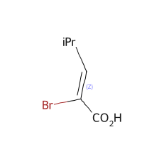 CC(C)/C=C(\Br)C(=O)O